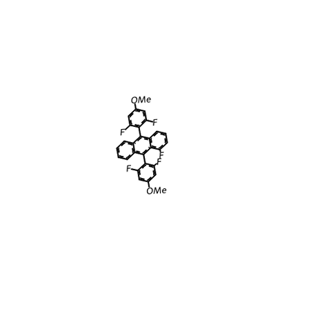 COc1cc(F)c(-c2c3ccccc3c(-c3c(F)cc(OC)cc3F)c3c(F)cccc23)c(F)c1